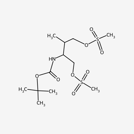 CC(COS(C)(=O)=O)C(COS(C)(=O)=O)NC(=O)OC(C)(C)C